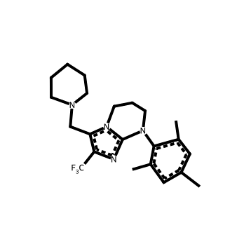 Cc1cc(C)c(N2CCCn3c2nc(C(F)(F)F)c3CN2CCCCC2)c(C)c1